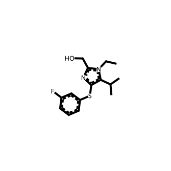 CCn1c(CO)nc(Sc2cccc(F)c2)c1C(C)C